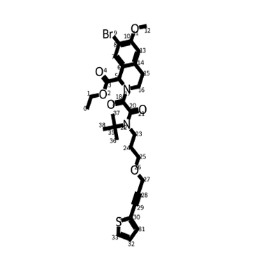 CCOC(=O)C1c2cc(Br)c(OC)cc2CCN1C(=O)C(=O)N(CCCOCC#Cc1cccs1)C(C)(C)C